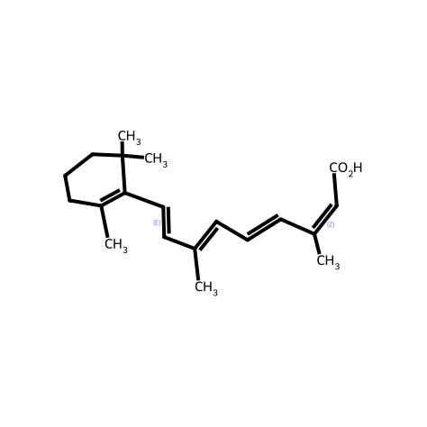 CC(=CC=C/C(C)=C\C(=O)O)/C=C/C1=C(C)CCCC1(C)C